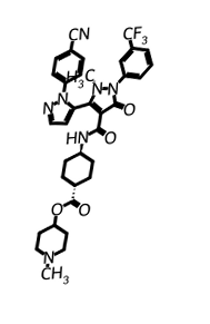 CN1CCC(OC(=O)[C@H]2CC[C@H](NC(=O)c3c(-c4ccnn4-c4ccc(C#N)cc4)n(C)n(-c4cccc(C(F)(F)F)c4)c3=O)CC2)CC1